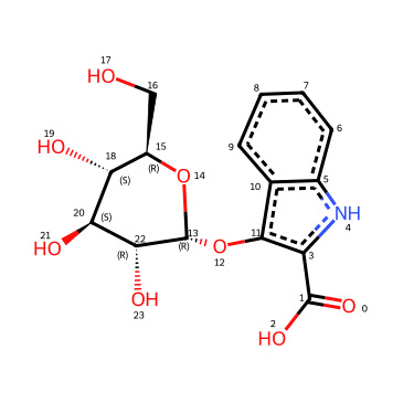 O=C(O)c1[nH]c2ccccc2c1O[C@H]1O[C@H](CO)[C@@H](O)[C@H](O)[C@H]1O